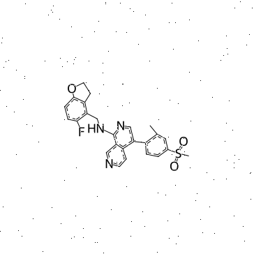 Cc1cc(S(C)(=O)=O)ccc1-c1cnc(NCc2c(F)ccc3c2CCO3)c2cnccc12